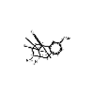 COc1ccc2c(c1)[C@]13CCN(C#N)[C@H](C2)[C@@H]1CC(C)(C)C(=O)C3